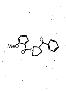 COc1ccccc1C(=O)N1CCCC(C(=O)c2ccccc2)C1